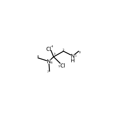 CNCC(Cl)(Cl)N(C)C